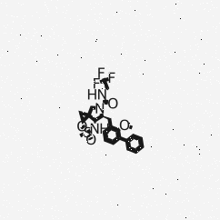 COc1c(C[C@H]2[C@@H](NS(C)(=O)=O)C3(CC3)CN2C(=O)NCC(F)(F)F)cccc1-c1ccccc1